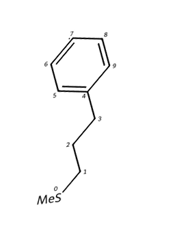 CSCCCc1cc[c]cc1